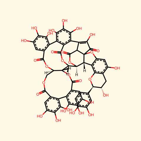 O=C1OC[C@H]2OC(=O)c3cc(O)c(O)c(O)c3-c3c(O)c(O)c(O)c4c3C(=O)O[C@H]([C@H]3OC(=O)C5C4=C(O)C(=O)C54Oc5cc(O)c6c(c5[C@H]34)O[C@H](c3ccc(O)c(O)c3)[C@@H](O)C6)[C@@H]2OC(=O)c2cc(O)c(O)c(O)c2-c2c1cc(O)c(O)c2O